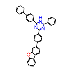 C1=CCCC(c2ccc(C3=NC(c4ccc(-c5ccc6c(c5)oc5ccccc56)cc4)=NC(c4ccccc4)N3)cc2)=C1